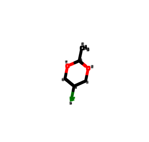 CC1OCC(Br)CO1